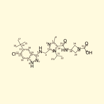 Cc1nc(CNc2n[nH]c3cc(Cl)c(C(C)(C)C)cc23)n(C(C)C)c1C(=O)NC1CN(C(=O)O)C1